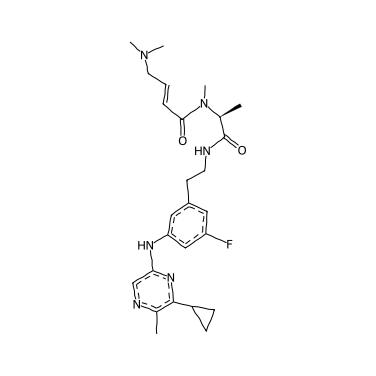 Cc1ncc(Nc2cc(F)cc(CCNC(=O)[C@H](C)N(C)C(=O)/C=C/CN(C)C)c2)nc1C1CC1